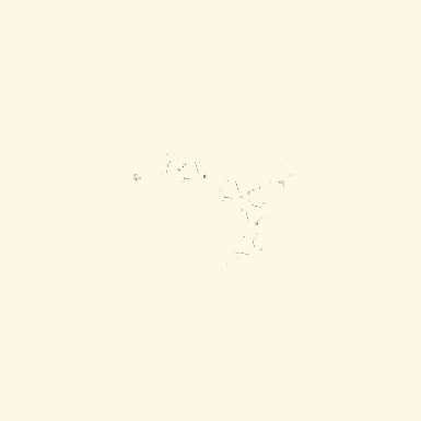 CB(OCC1CCCN1)c1ccc(OCc2ccc(B(OCC3CCCN3)c3ccc(Oc4ccc(C)cc4)cc3)cc2)cc1